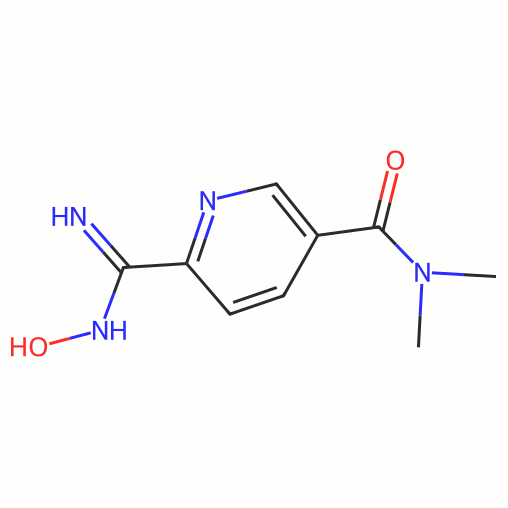 CN(C)C(=O)c1ccc(C(=N)NO)nc1